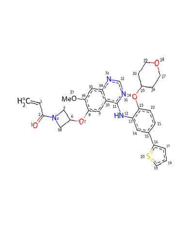 C=CC(=O)N1CC(Oc2cc3c(Nc4cc(-c5cccs5)ccc4OC4CCOCC4)ncnc3cc2OC)C1